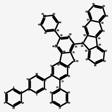 c1ccc(-c2ccc(-c3cc4c(cc3-c3ccccc3)sc3c(-n5c6ccccc6c6cc7ccccc7cc65)nc(-c5ccncc5)nc34)cc2)cc1